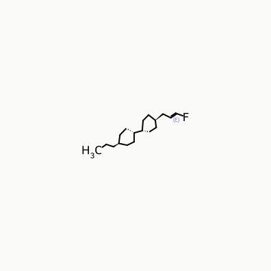 CCC[C@H]1CC[C@H]([C@H]2CC[C@H](C/C=C/F)CC2)CC1